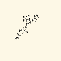 C[C@H]1CCN1c1nc(N2C[C@@H]3[C@@H](CC(=O)O)[C@@H]3C2)cc2c1CCCC2(F)F